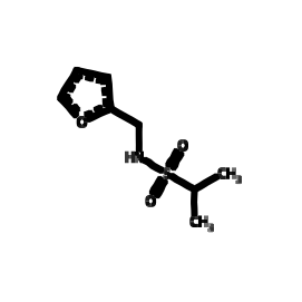 CC(C)S(=O)(=O)NCc1ccco1